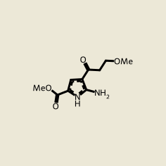 COCCC(=O)c1cc(C(=O)OC)[nH]c1N